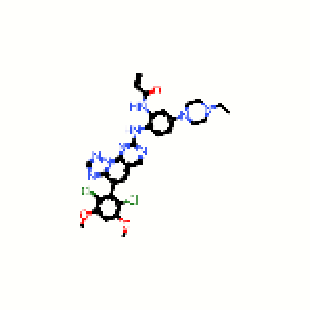 C=CC(=O)Nc1cc(N2CCN(CC)CC2)ccc1Nc1ncc2cc(-c3c(Cl)c(OC)cc(OC)c3Cl)c3ncnn3c2n1